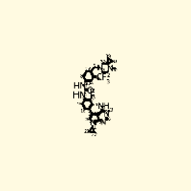 CN1CCN(Cc2ccc(NC(=O)Nc3ccc(-c4cn(C5CC5)c5ncnc(N)c45)cc3F)cc2C(F)(F)F)CC12CC2